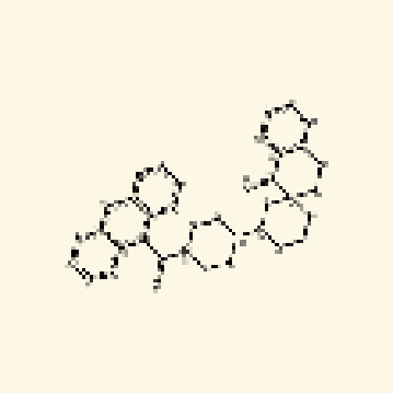 O=C(c1c2ccccc2cc2ccccc12)N1CCC(N2CCCC3(CCc4ccccc4C3=O)C2)CC1